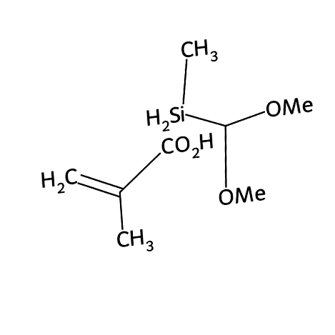 C=C(C)C(=O)O.COC(OC)[SiH2]C